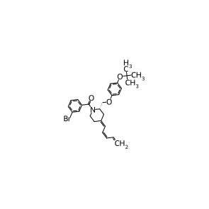 C=C/C=C\C=C1/CCN(C(=O)c2cccc(Br)c2)[C@H](COc2ccc(OC(C)(C)C)cc2)C1